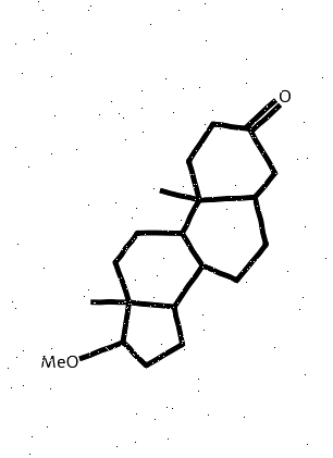 COC1CCC2C3CCC4CC(=O)CCC4(C)C3CCC12C